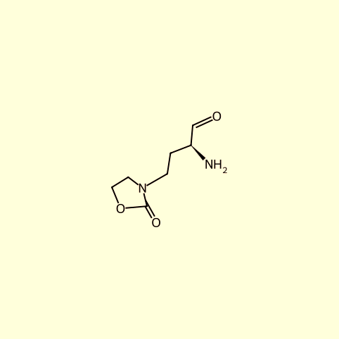 N[C@H](C=O)CCN1CCOC1=O